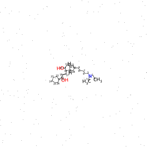 CCN(CC)CCCCCC1=C[C@H]2C[C@@H](O)[C@H](/C=C/[C@@H](O)C3CCCCC3)[C@H]2C1